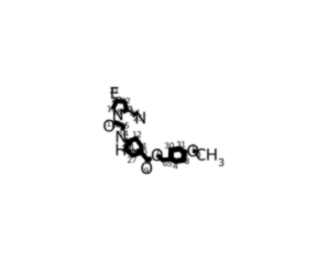 COc1ccc(COC(=O)C23CCC(NCC(=O)N4C[C@@H](F)C[C@H]4C#N)(CC2)CC3)cc1